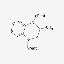 CCCCCN1CC(C)N(CCCCC)c2ccccc21